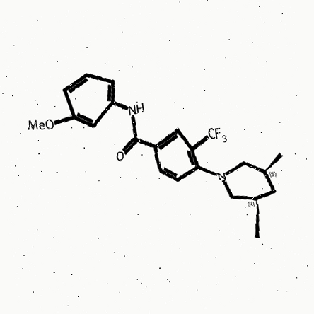 COc1cccc(NC(=O)c2ccc(N3C[C@H](C)C[C@H](C)C3)c(C(F)(F)F)c2)c1